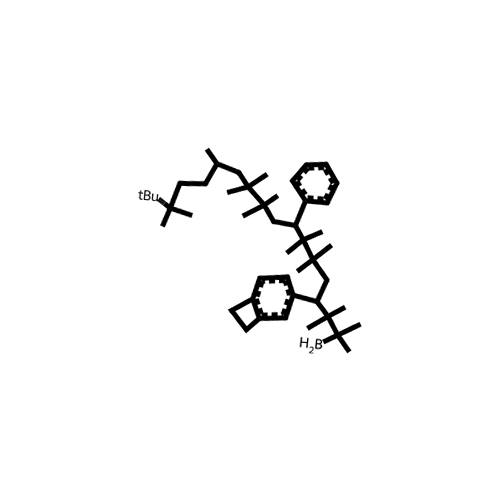 BC(C)(C)C(C)(C)C(CC(C)(C)C(C)(C)C(CC(C)(C)C(C)(C)CC(C)CCC(C)(C)C(C)(C)C)c1ccccc1)c1ccc2c(c1)CC2